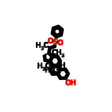 C[C@H](CS(=O)(=O)c1ccccc1)[C@H]1CCC2[C@]3(C)CCC4C[C@@H](O)CC[C@]4(C)[C@H]3CC[C@@]21C